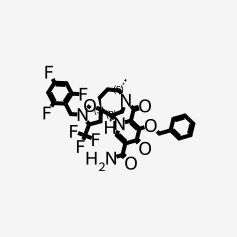 C[C@H]1CC[C@]2(CC(C(F)(F)F)N(Cc3c(F)cc(F)cc3F)O2)[C@H]2CN1C(=O)c1c(OCc3ccccc3)c(=O)c(C(N)=O)cn12